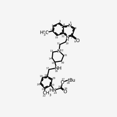 Cc1ccc2ncc(=O)n(CCN3CCC(NCc4ccc(C)c(NC(=O)OC(C)(C)C)c4)CC3)c2c1